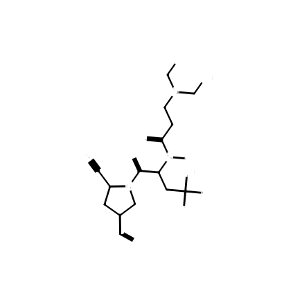 CCN(CC)CCC(=O)N(C)C(CC(C)(C)F)C(=O)N1CC(C=O)CC1C#N